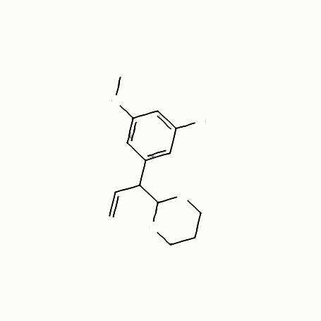 C=CC(c1cc(O)cc(OC)c1)C1OCCCO1